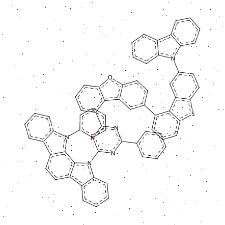 c1ccc(-c2nc(-c3cccc4oc5ccc(-c6cccc7sc8ccc(-n9c%10ccccc%10c%10ccccc%109)cc8c67)cc5c34)nc(-n3c4ccccc4c4ccc5c6ccccc6n(-c6ccccc6)c5c43)n2)cc1